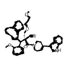 COCCOC[C@](C#N)(C(=O)N1CC=C(c2c[nH]c3ccccc23)CC1)C(c1ccccc1OC)c1cccc2ccccc12